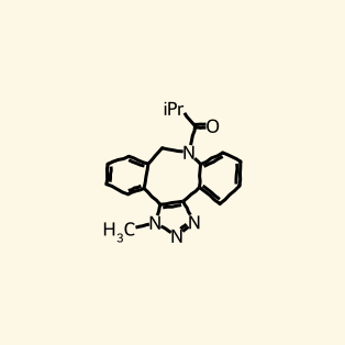 CC(C)C(=O)N1Cc2ccccc2-c2c(nnn2C)-c2ccccc21